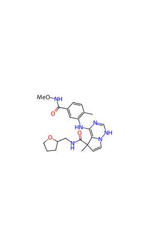 CONC(=O)c1ccc(C)c(NC2=C3N(C=CC3(C)C(=O)NCC3CCCO3)NC=N2)c1